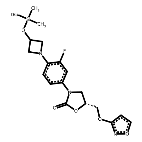 CC(C)(C)[Si](C)(C)OC1CN(c2ccc(N3C[C@H](COc4ccon4)OC3=O)cc2F)C1